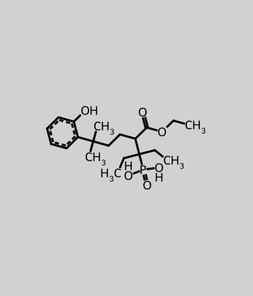 CCOC(=O)C(CCC(C)(C)c1ccccc1O)C(CC)(CC)P(=O)(O)O